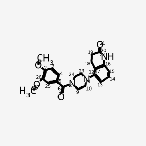 COc1ccc(C(=O)N2CCN(c3cccc4c3CCC(=O)N4)CC2)cc1OC